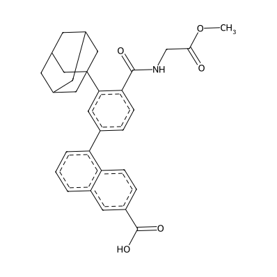 COC(=O)CNC(=O)c1ccc(-c2cccc3cc(C(=O)O)ccc23)cc1C12CC3CC(CC(C3)C1)C2